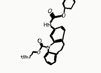 CC(C)(C)COC(=O)N1c2ccccc2CCc2ccc(NC(=O)OC3CCCCC3)cc21